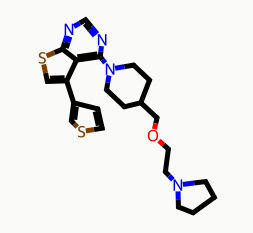 c1nc(N2CCC(COCCN3CCCC3)CC2)c2c(-c3ccsc3)csc2n1